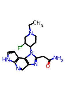 CCN1CC[C@@H](n2c(CC(N)=O)nc3cnc4[nH]ccc4c32)[C@@H](F)C1